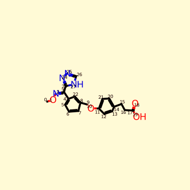 CO/N=C(\c1cccc(COc2ccc(CCC(=O)O)cc2)c1)c1nnc[nH]1